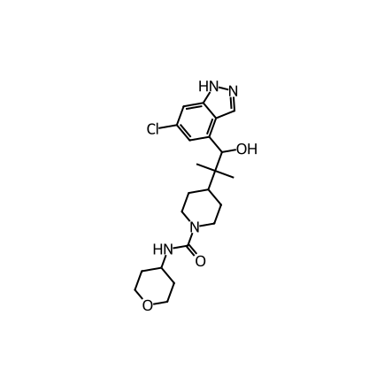 CC(C)(C1CCN(C(=O)NC2CCOCC2)CC1)C(O)c1cc(Cl)cc2[nH]ncc12